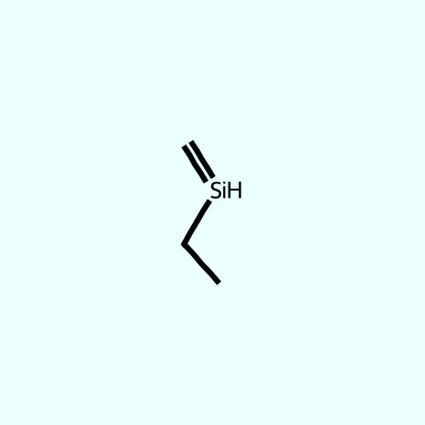 C=[SiH]CC